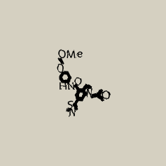 COCCO[C@H]1CC[C@H](NC(=O)c2cc(-c3cncs3)cc3c2ccn3CC2COC2)CC1